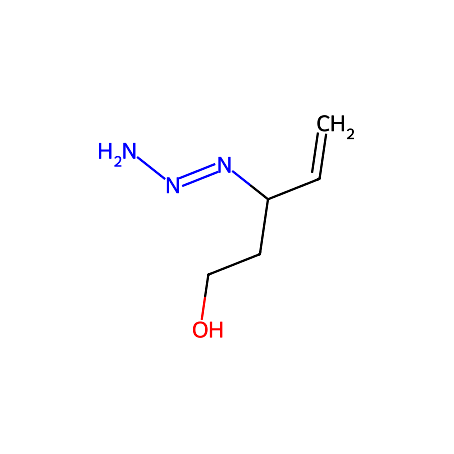 C=CC(CCO)N=NN